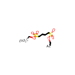 CCOC(=O)COS(=O)(=O)CCCCS(=O)(=O)OCC(C)=O